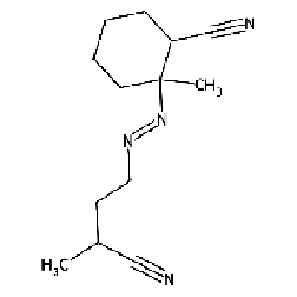 CC(C#N)CCN=NC1(C)CCCCC1C#N